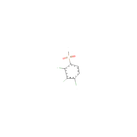 CS(=O)(=O)c1ccc(Br)c(Br)c1Br